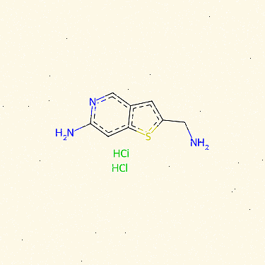 Cl.Cl.NCc1cc2cnc(N)cc2s1